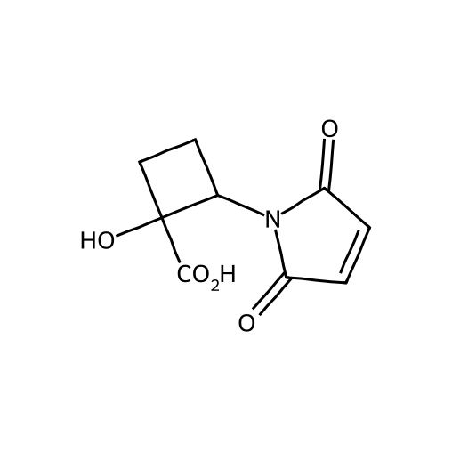 O=C1C=CC(=O)N1C1CCC1(O)C(=O)O